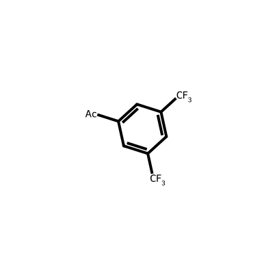 [CH2]C(=O)c1cc(C(F)(F)F)cc(C(F)(F)F)c1